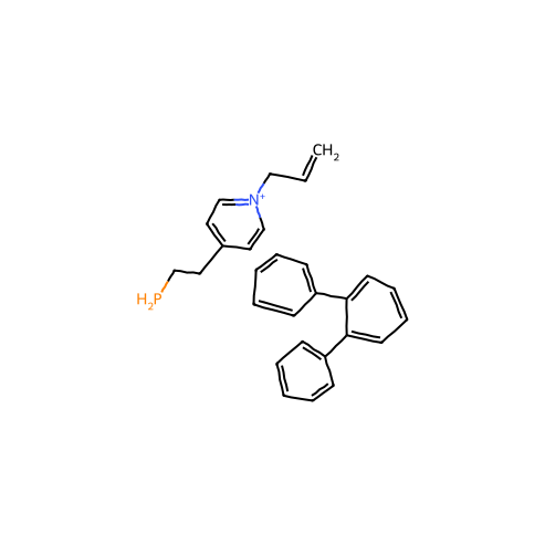 C=CC[n+]1ccc(CCP)cc1.c1ccc(-c2ccccc2-c2ccccc2)cc1